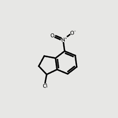 O=[N+]([O-])c1cccc2c1CCC2Cl